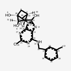 OC[C@H]1[C@@H]2C[C@](O)([C@@H]1O)[C@@H]2n1cnc2c(NCc3cccc(I)c3)nc(Cl)nc21